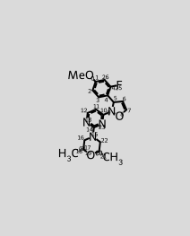 COc1ccc(C2C=CON2c2ccnc(N3C[C@@H](C)O[C@@H](C)C3)n2)c(F)c1